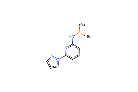 CC(C)(C)P(Nc1cccc(-n2cccn2)n1)C(C)(C)C